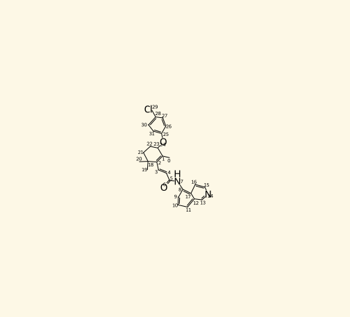 CC1=C(C=CC(=O)Nc2cccc3cnccc23)C(C)(C)CCC1Oc1ccc(Cl)cc1